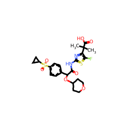 CC(C)(C(=O)O)c1nc(NC(=O)C(OC2CCOCC2)c2ccc(S(=O)(=O)C3CC3)cc2)sc1F